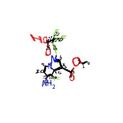 CCOC(=O)c1cnn2ccc(N)c(F)c12.O=C(O)C(F)(F)F